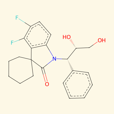 O=C1N([C@@H](c2ccccc2)[C@H](O)CO)c2ccc(F)c(F)c2C12CCCCC2